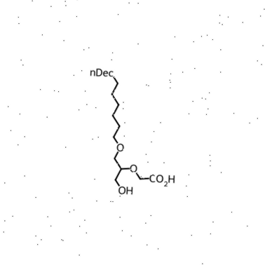 CCCCCCCCCCCCCCCCOCC(CO)OCC(=O)O